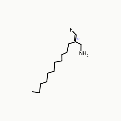 CCCCCCCCCCC/C(=C\F)CN